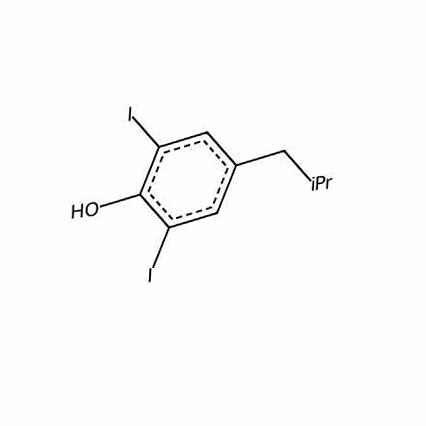 CC(C)Cc1cc(I)c(O)c(I)c1